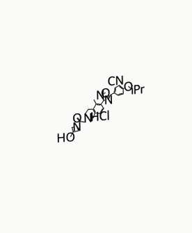 Cc1c(-c2noc(-c3ccc(OC(C)C)c(C#N)c3)n2)ccc2c1CCN(CC(=O)N1CC(O)C1)C2.Cl